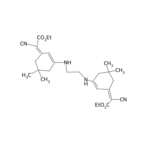 [C-]#[N+]/C(C(=O)OCC)=C1/C=C(NCCNC2=C/C(=C(/C#N)C(=O)OCC)CC(C)(C)C2)CC(C)(C)C1